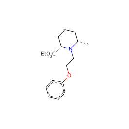 CCOC(=O)[C@@H]1CCC[C@H](C)N1CCOc1ccccc1